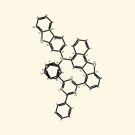 c1ccc(-c2nc(-c3ccccc3)nc(-c3cccc4oc5c6ccccc6c(N(c6ccccc6)c6ccc7c(c6)oc6ccccc67)cc5c34)n2)cc1